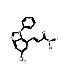 CCN(CC)C(=O)/C=C/c1cc(C(F)(F)F)cc2ncn(-c3ccccc3)c12